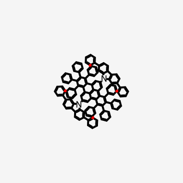 c1ccc(-c2ccc3c4ccc(-c5ccccc5)cc4n(-c4cc5c6c(-c7ccccc7)c(-c7ccccc7)c(-c7ccccc7)c(-c7ccccc7)c6c6cc(-n7c8cc(-c9ccccc9)ccc8c8ccc(-c9ccccc9)cc87)cc7c8c(-c9ccccc9)c(-c9ccccc9)c(-c9ccccc9)c(-c9ccccc9)c8c(c4)c5c67)c3c2)cc1